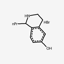 Br.CCCC1NCCc2cc(O)ccc21